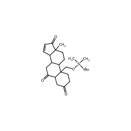 CC12CCC3C(CC(=O)C4CC(=O)CCC43CO[Si](C)(C)C(C)(C)C)C1C=CC2=O